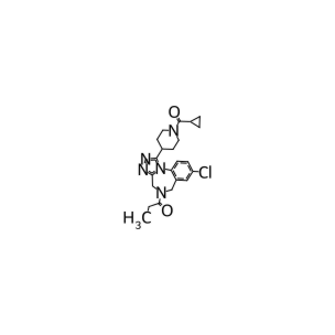 CCC(=O)N1Cc2cc(Cl)ccc2-n2c(nnc2C2CCN(C(=O)C3CC3)CC2)C1